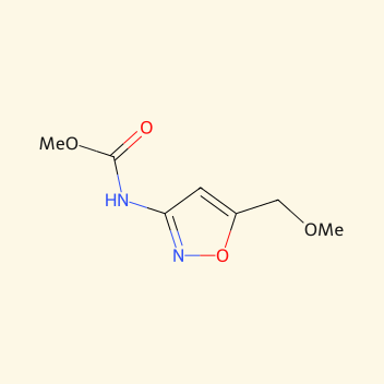 COCc1cc(NC(=O)OC)no1